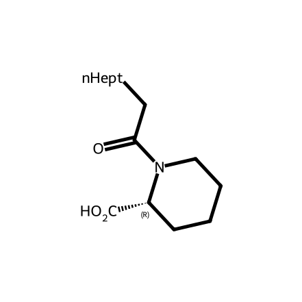 CCCCCCCCC(=O)N1CCCC[C@@H]1C(=O)O